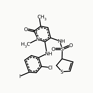 Cc1cc(NS(=O)(=O)C2C=CSC2)c(Nc2ccc(I)cc2Cl)n(C)c1=O